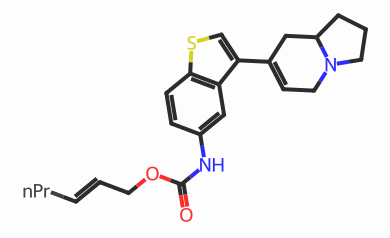 CCCC=CCOC(=O)Nc1ccc2scc(C3=CCN4CCCC4C3)c2c1